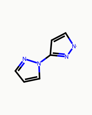 C1=CC(n2cccn2)=N[N]1